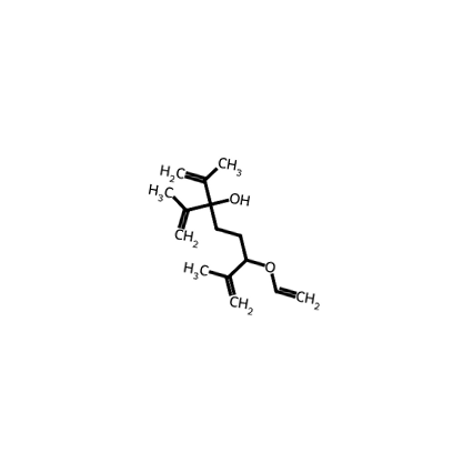 C=COC(CCC(O)(C(=C)C)C(=C)C)C(=C)C